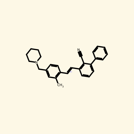 Cc1cc(CN2CCCCC2)ccc1/C=C/c1cccc(-c2ccccc2)c1C#N